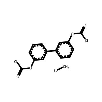 CCC.O=C(Cl)Oc1cccc(-c2cccc(OC(=O)Cl)c2)c1